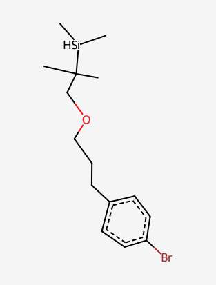 C[SiH](C)C(C)(C)COCCCc1ccc(Br)cc1